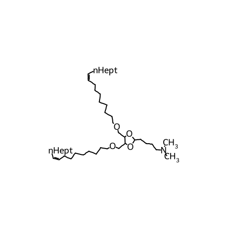 CCCCCCC/C=C\CCCCCCCCOCC1OC(CCCCN(C)C)OC1COCCCCCCCC/C=C\CCCCCCC